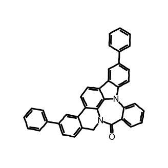 O=C1c2ccccc2-n2c3ccc(-c4ccccc4)cc3c3ccc4c(c32)N1Cc1ccc(-c2ccccc2)cc1-4